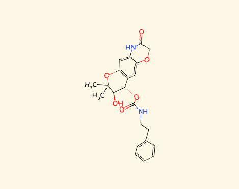 CC1(C)Oc2cc3c(cc2[C@H](OC(=O)NCCc2ccccc2)[C@H]1O)OCC(=O)N3